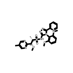 COc1cccc(OC)c1-n1c(NS(=O)(=O)[C@@H](C)[C@H](OC)c2ncc(C)cn2)nnc1-c1ccccn1